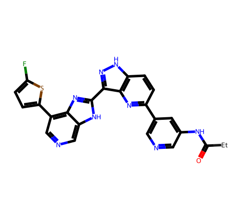 CCC(=O)Nc1cncc(-c2ccc3[nH]nc(-c4nc5c(-c6ccc(F)s6)cncc5[nH]4)c3n2)c1